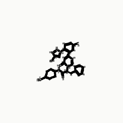 O=C(NC1CCC(O)CC1)[C@H](Cc1ccccc1)n1cnc(-c2cc(Cl)ccc2-n2cc(Cl)nn2)cc1=O